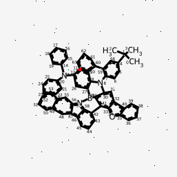 CC(C)(C)c1ccc(N2c3ccc(N(c4ccccc4)c4ccccc4)cc3B3c4c2cc2c(oc5ccccc52)c4-c2cccc4c5cc6ccccc6cc5n3c24)c(-c2ccccc2)c1